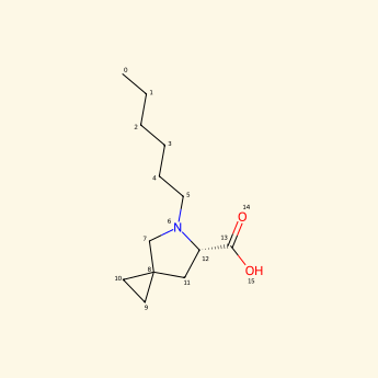 CCCCCCN1CC2(CC2)C[C@H]1C(=O)O